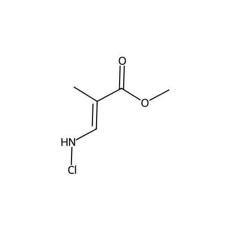 COC(=O)C(C)=CNCl